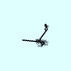 CCCCCCCCCCCCCC[C@@H](O)[C@@H](O)[C@H](COC1OC(CO)C(O)C(O)C1O)NC(=O)CCCCCCCCCCC1CCN(C(=O)OC(C)(C)C)CC1